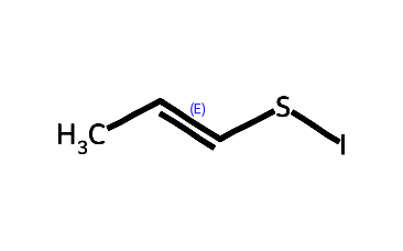 C/C=C/SI